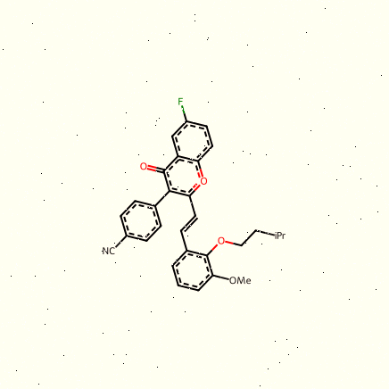 COc1cccc(C=Cc2oc3ccc(F)cc3c(=O)c2-c2ccc(C#N)cc2)c1OCCC(C)C